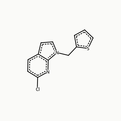 Clc1ccc2ccn(Cc3cccs3)c2n1